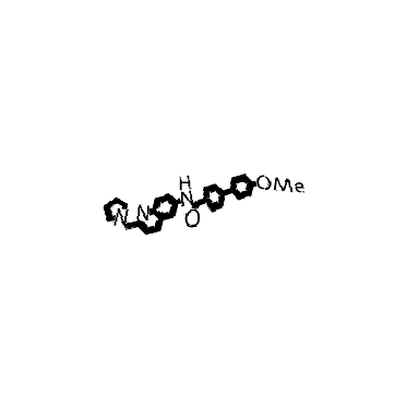 COc1ccc(-c2ccc(C(=O)Nc3ccc4nc(CN5CCCC5)ccc4c3)cc2)cc1